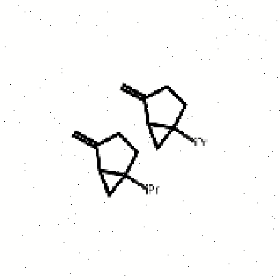 C=C1CCC2(C(C)C)CC12.C=C1CCC2(C(C)C)CC12